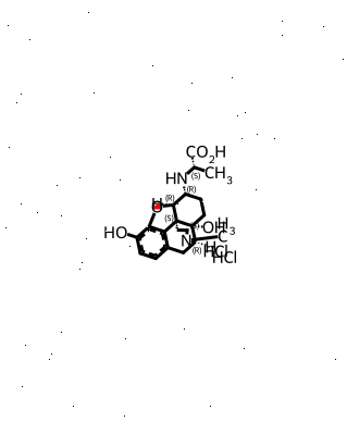 C[C@H](N[C@@H]1CC[C@@]2(O)[C@H]3Cc4ccc(O)c5c4[C@@]2(CCN3C)[C@H]1O5)C(=O)O.Cl.Cl